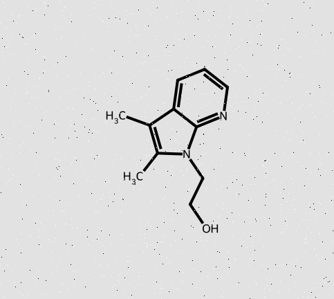 Cc1c(C)n(CCO)c2nc[c]cc12